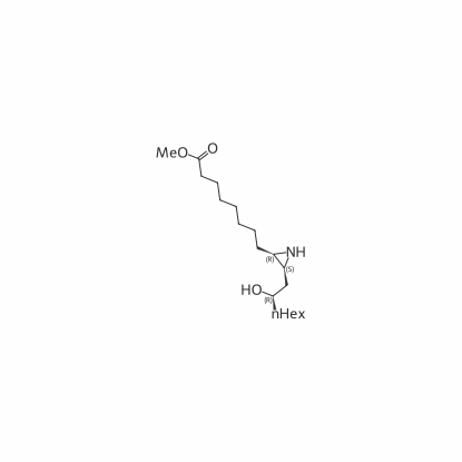 CCCCCC[C@@H](O)C[C@@H]1N[C@@H]1CCCCCCCC(=O)OC